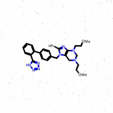 CCCc1nc2c(n1Cc1ccc(-c3ccccc3-c3nnn[nH]3)cc1)CN(CCOC)CN2CCOC